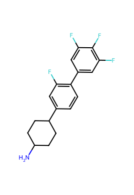 NC1CCC(c2ccc(-c3cc(F)c(F)c(F)c3)c(F)c2)CC1